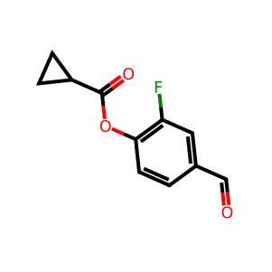 O=Cc1ccc(OC(=O)C2CC2)c(F)c1